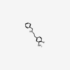 Nc1cc(CCNCc2ccccc2)ccc1F